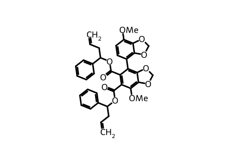 C=CCC(OC(=O)c1c(OC)c2c(c(-c3ccc(OC)c4c3OCO4)c1C(=O)OC(CC=C)c1ccccc1)OCO2)c1ccccc1